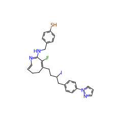 FC1=C(\CCC(I)Cc2ccc(-n3cccn3)cc2)CC/C=C/N=C\1NCc1ccc(S)cc1